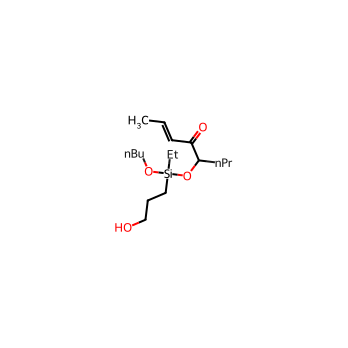 CC=CC(=O)C(CCC)O[Si](CC)(CCCO)OCCCC